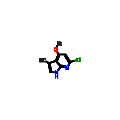 CCOc1cc(Cl)nc2[nH]cc(C#N)c12